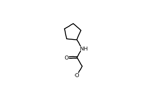 [O]CC(=O)NC1CCCC1